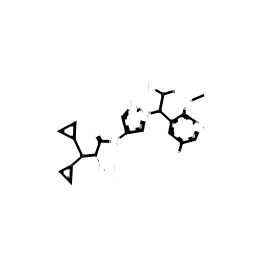 COc1ncc(F)cc1C(C(F)F)n1cc(NC(=O)[C@@H](N)C(C2CC2)C2CC2)cn1